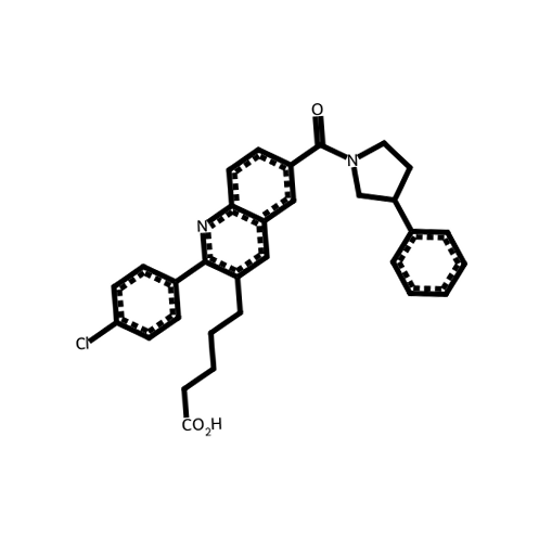 O=C(O)CCCCc1cc2cc(C(=O)N3CCC(c4ccccc4)C3)ccc2nc1-c1ccc(Cl)cc1